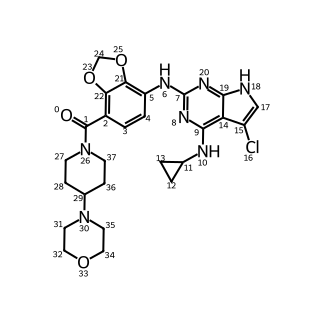 O=C(c1ccc(Nc2nc(NC3CC3)c3c(Cl)c[nH]c3n2)c2c1OCO2)N1CCC(N2CCOCC2)CC1